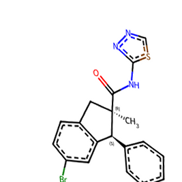 C[C@@]1(C(=O)Nc2nncs2)Cc2ccc(Br)cc2[C@@H]1c1ccccc1